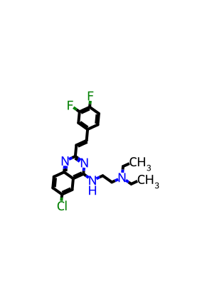 CCN(CC)CCNc1nc(C=Cc2ccc(F)c(F)c2)nc2ccc(Cl)cc12